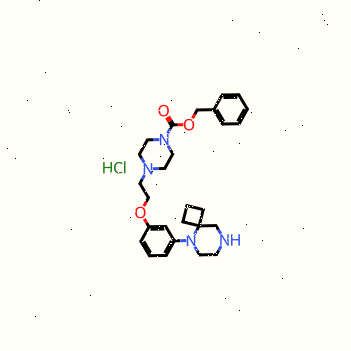 Cl.O=C(OCc1ccccc1)N1CCN(CCOc2cccc(N3CCNCC34CCC4)c2)CC1